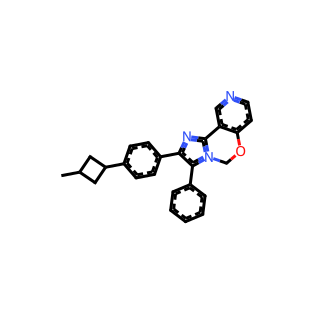 CC1CC(c2ccc(-c3nc4n(c3-c3ccccc3)COc3ccncc3-4)cc2)C1